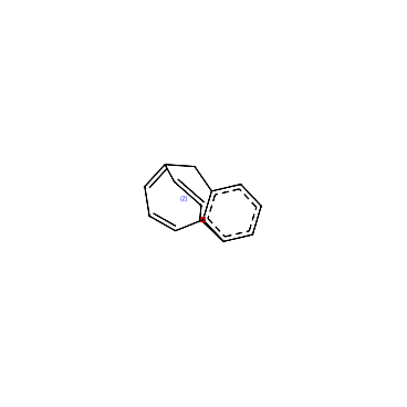 C1=Cc2c3cccc2CC(=C1)/C=C\C3